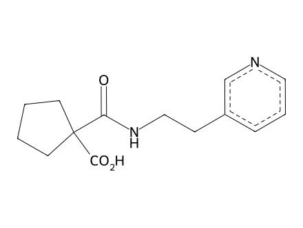 O=C(O)C1(C(=O)NCCc2cccnc2)CCCC1